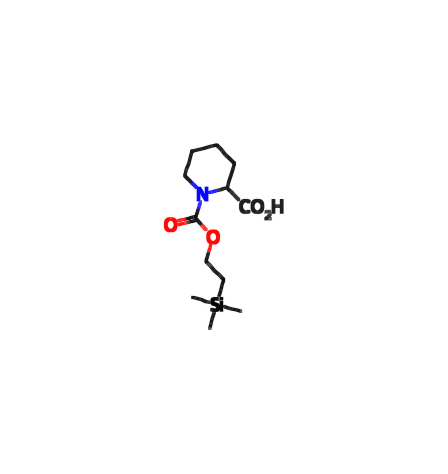 C[Si](C)(C)CCOC(=O)N1CCCCC1C(=O)O